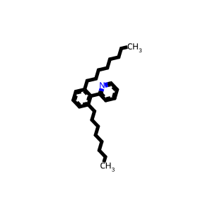 CCCCCCCCc1cccc(CCCCCCCC)c1-c1ccccn1